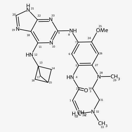 C=CC(=O)Nc1cc(Nc2nc(NC34CC(C3)C4)c3nc[nH]c3n2)c(OC)cc1N(C)CCN(C)C